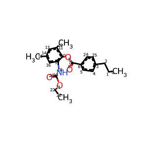 CCCc1ccc(C(=O)Oc2c(C)cc(C)cc2NC(=O)OCC)cc1